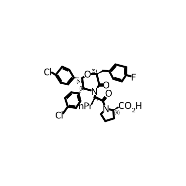 CCC[C@H](C(=O)N1CCC[C@@H]1C(=O)O)N1C(=O)[C@H](Cc2ccc(F)cc2)O[C@@H](c2ccc(Cl)cc2)[C@H]1c1ccc(Cl)cc1